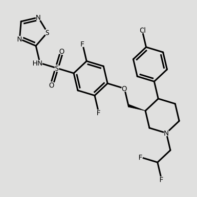 O=S(=O)(Nc1ncns1)c1cc(F)c(OC[C@@H]2CN(CC(F)F)CCC2c2ccc(Cl)cc2)cc1F